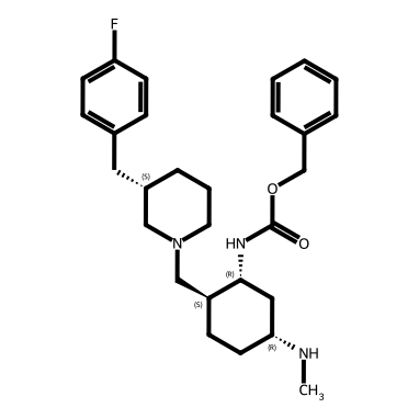 CN[C@@H]1CC[C@@H](CN2CCC[C@@H](Cc3ccc(F)cc3)C2)[C@H](NC(=O)OCc2ccccc2)C1